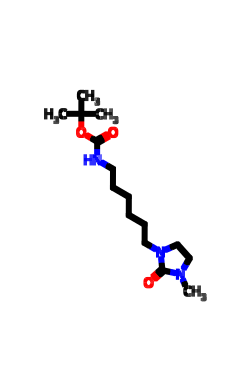 CN1CCN(CCCCCCNC(=O)OC(C)(C)C)C1=O